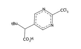 CC(C)(C)C(C(=O)O)c1cnc(C(Cl)(Cl)Cl)nc1